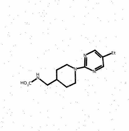 CCc1cnc(N2CCC(CNC(=O)O)CC2)nc1